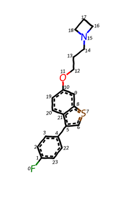 Fc1ccc(-c2csc3cc(OCCCN4CCC4)ccc23)cc1